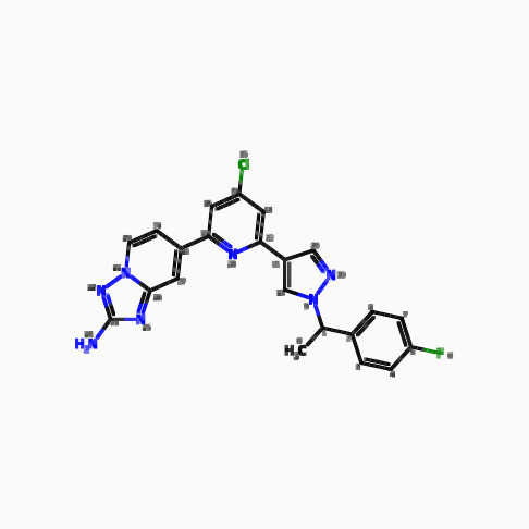 CC(c1ccc(F)cc1)n1cc(-c2cc(Cl)cc(-c3ccn4nc(N)nc4c3)n2)cn1